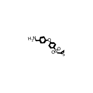 NCc1ccc(Oc2ccc(S(=O)(=O)CC3CS3)cc2)cc1